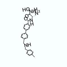 Cc1ccc(CNCc2ccc(-c3ccc(C(=O)N[C@@H](CN)C(=O)NO)cc3)cc2)cc1